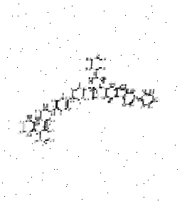 c1ccc(C2=NC(c3ccc(-c4ccc(-c5ccc6c7ccccc7c7ccccc7c6c5)cc4)cc3)NC(c3ccc4c(c3)oc3cc(-c5ccccc5)ccc34)=N2)cc1